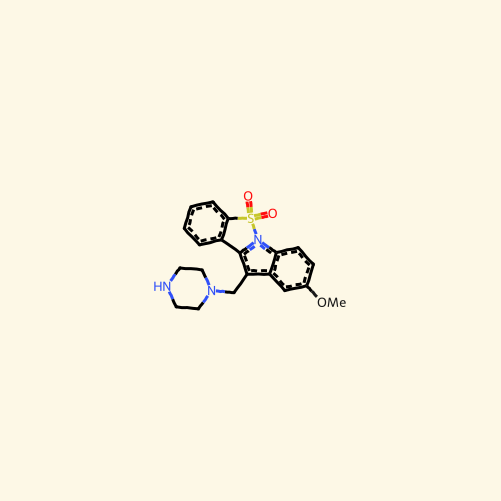 COc1ccc2c(c1)c(CN1CCNCC1)c1n2S(=O)(=O)c2ccccc2-1